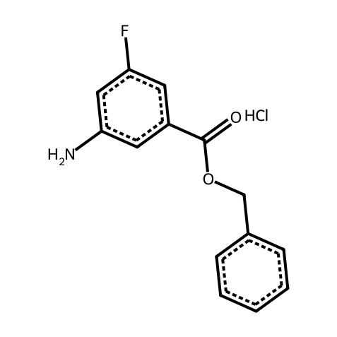 Cl.Nc1cc(F)cc(C(=O)OCc2ccccc2)c1